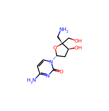 NC[C@]1(CO)O[C@@H](n2ccc(N)nc2=O)C[C@@H]1O